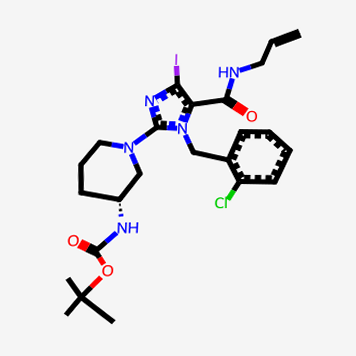 C=CCNC(=O)c1c(I)nc(N2CCC[C@@H](NC(=O)OC(C)(C)C)C2)n1Cc1ccccc1Cl